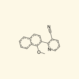 COc1c(-c2ncccc2C#N)ccc2ccccc12